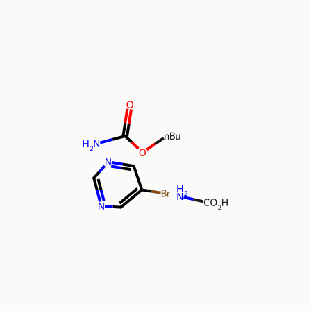 Brc1cncnc1.CCCCOC(N)=O.NC(=O)O